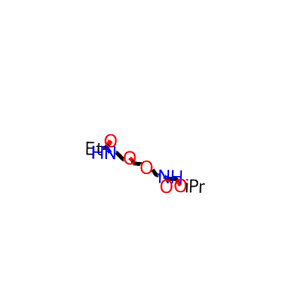 CCC(=O)NCCOCCOCCNC(=O)COC(C)C